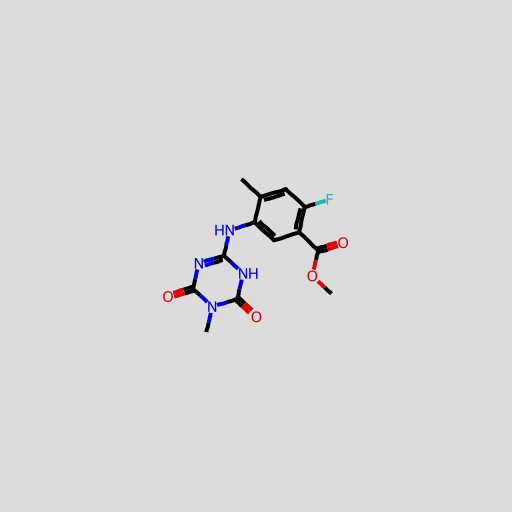 COC(=O)c1cc(Nc2nc(=O)n(C)c(=O)[nH]2)c(C)cc1F